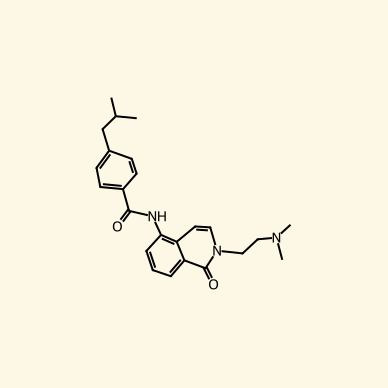 CC(C)Cc1ccc(C(=O)Nc2cccc3c(=O)n(CCN(C)C)ccc23)cc1